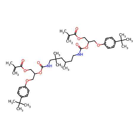 C=C(C)C(=O)OCC(COc1ccc(C(C)(C)C)cc1)OC(=O)NCCC(C)CC(C)(C)CNC(=O)OC(COC(=O)C(=C)C)COc1ccc(C(C)(C)C)cc1